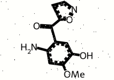 COc1cc(N)c(C(=O)c2ccno2)cc1O